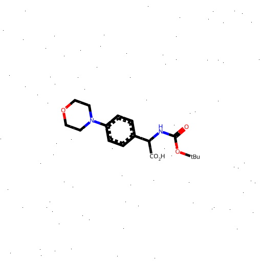 CC(C)(C)OC(=O)NC(C(=O)O)c1ccc(N2CCOCC2)cc1